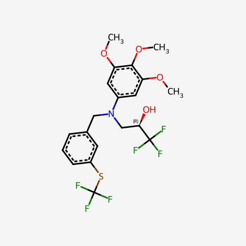 COc1cc(N(Cc2cccc(SC(F)(F)F)c2)C[C@@H](O)C(F)(F)F)cc(OC)c1OC